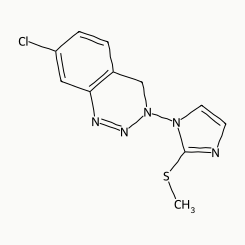 CSc1nccn1N1Cc2ccc(Cl)cc2N=N1